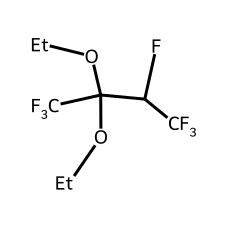 CCOC(OCC)(C(F)C(F)(F)F)C(F)(F)F